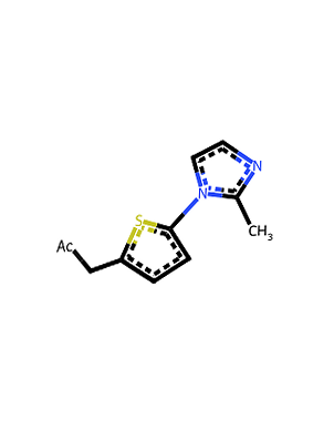 CC(=O)Cc1ccc(-n2ccnc2C)s1